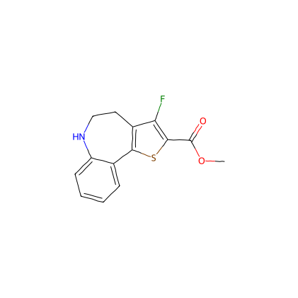 COC(=O)c1sc2c(c1F)CCNc1ccccc1-2